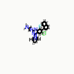 CN(C)C1CN(c2nc(N3C[C@H]4CC[C@@H](C3)N4)c3cc(Cl)c(-c4cccc5ccccc45)c(F)c3n2)C1